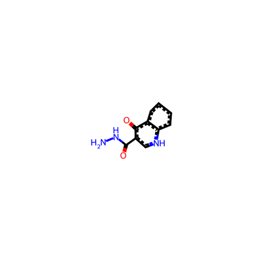 NNC(=O)c1c[nH]c2ccccc2c1=O